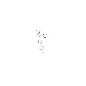 COC(=O)N1CCN(c2ccc(-c3c(-c4ccc(CO)cc4)c4c(Cl)ccnc4n3C)cc2)CC1